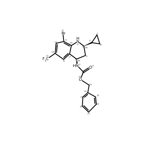 O=C(N[C@@H]1C[C@H](C2CC2)Nc2c(Br)cc(C(F)(F)F)cc21)OCc1ccccc1